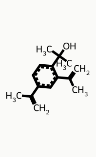 C=C(C)c1ccc(C(C)(C)O)c(C(=C)C)c1